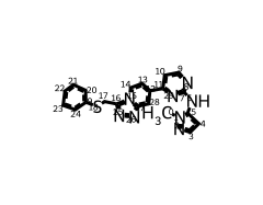 Cn1nccc1Nc1nccc(-c2ccn3c(CSc4ccccc4)nnc3c2)n1